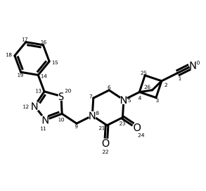 N#CC12CC(N3CCN(Cc4nnc(-c5ccccc5)s4)C(=O)C3=O)(C1)C2